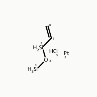 C=C[SiH2]O[SiH3].Cl.[Pt]